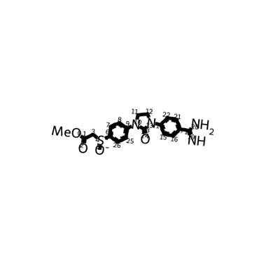 COC(=O)C[S+]([O-])c1ccc(N2CCN(c3ccc(C(=N)N)cc3)C2=O)cc1